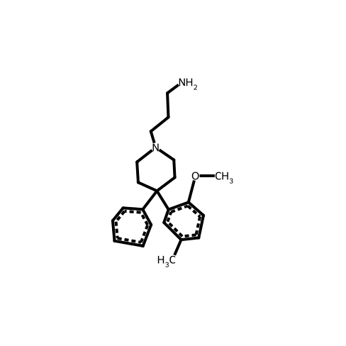 COc1ccc(C)cc1C1(c2ccccc2)CCN(CCCN)CC1